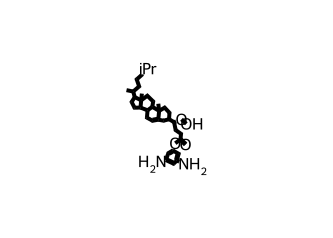 CC(C)CCCC(C)C1CCC2C3CC=C4CC(C(CCC(=O)Oc5cc(N)cc(N)c5)OO)CCC4(C)C3CCC12C